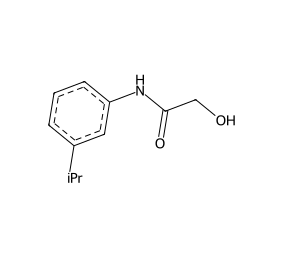 CC(C)c1cccc(NC(=O)CO)c1